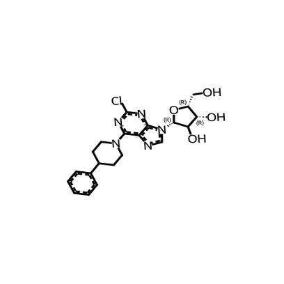 OC[C@H]1O[C@@H](n2cnc3c(N4CCC(c5ccccc5)CC4)nc(Cl)nc32)C(O)[C@H]1O